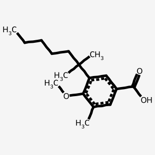 CCCCCC(C)(C)c1cc(C(=O)O)cc(C)c1OC